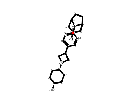 CC(=O)[C@H]1CC[C@@H](N2CC(c3cnc(N4C5CCC4CN(C)C5)nc3)C2)CC1